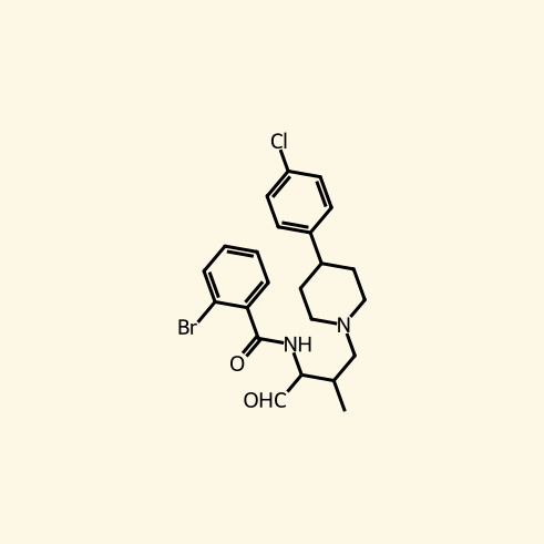 CC(CN1CCC(c2ccc(Cl)cc2)CC1)C(C=O)NC(=O)c1ccccc1Br